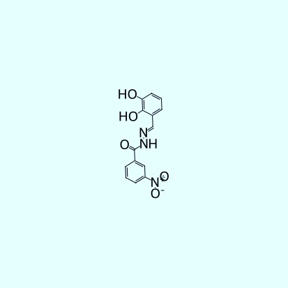 O=C(N/N=C/c1cccc(O)c1O)c1cccc([N+](=O)[O-])c1